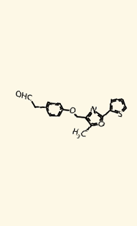 Cc1oc(-c2cccs2)nc1COc1ccc(CC=O)cc1